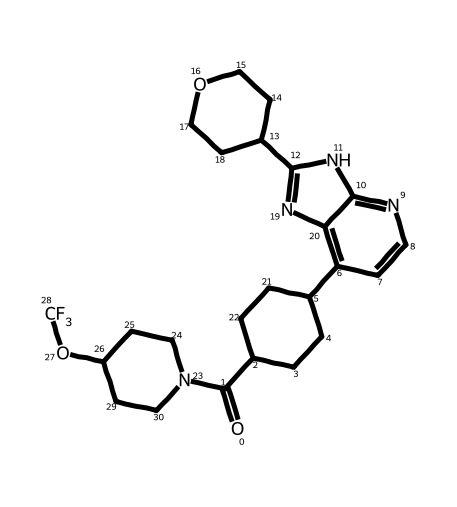 O=C(C1CCC(c2ccnc3[nH]c(C4CCOCC4)nc23)CC1)N1CCC(OC(F)(F)F)CC1